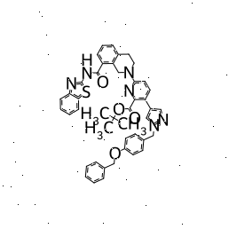 CC(C)(C)OC(=O)c1nc(N2CCc3cccc(C(=O)Nc4nc5ccccc5s4)c3C2)ccc1-c1cnn(Cc2ccc(OCc3ccccc3)cc2)c1